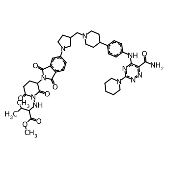 COC(=O)C(NN1C(=O)CCC(N2C(=O)c3ccc(N4CCC(CN5CCC(c6ccc(Nc7nc(N8CCCCC8)nnc7C(N)=O)cc6)CC5)C4)cc3C2=O)C1=O)C(C)C